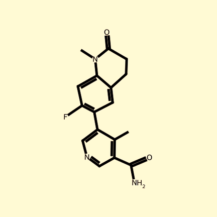 Cc1c(C(N)=O)cncc1-c1cc2c(cc1F)N(C)C(=O)CC2